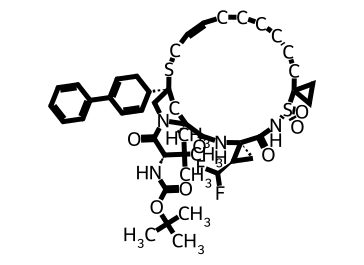 CC(C)(C)OC(=O)N[C@H](C(=O)N1C[C@]2(C3C=CC(c4ccccc4)=CC3)C[C@H]1C(=O)N[C@@]1(C[C@H]1C(F)F)C(=O)NS(=O)(=O)C1(CCCCCC/C=C\CS2)CC1)C(C)(C)C